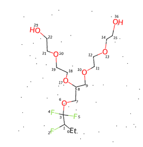 CCC(F)C(F)(F)OCC(COCCOCCO)OCCOCCO